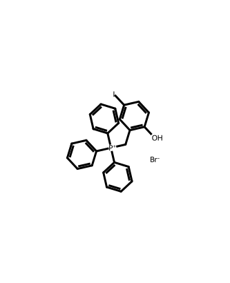 Oc1ccc(I)cc1C[P+](c1ccccc1)(c1ccccc1)c1ccccc1.[Br-]